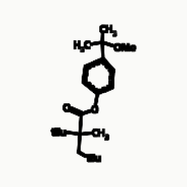 COC(C)(C)c1ccc(OC(=O)C(C)(CC(C)(C)C)C(C)(C)C)cc1